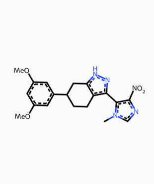 COc1cc(OC)cc(C2CCc3c(-c4c([N+](=O)[O-])ncn4C)n[nH]c3C2)c1